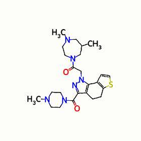 CC1CN(C)CCN(C(=O)Cn2nc(C(=O)N3CCN(C)CC3)c3c2-c2ccsc2CC3)C1